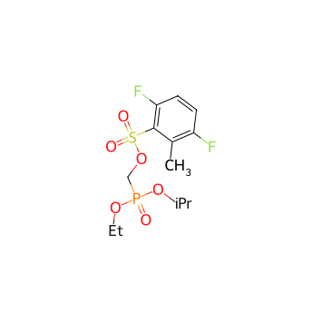 CCOP(=O)(COS(=O)(=O)c1c(F)ccc(F)c1C)OC(C)C